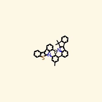 Cc1cc2c3c(c1)-n1c4sc5ccccc5c4c4cccc(c41)B3n1c3c(c4cccc-2c41)-c1ccccc1C3(C)C